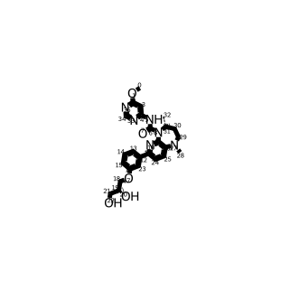 COc1cc(NC(=O)N2c3nc(-c4cccc(OC[C@@H](O)CO)c4)ccc3N(C)CC[C@H]2C)ncn1